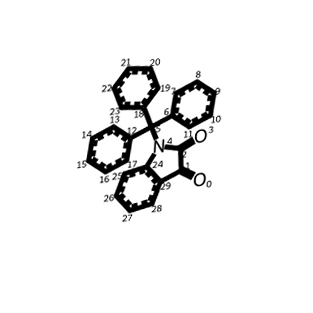 O=C1C(=O)N(C(c2ccccc2)(c2ccccc2)c2ccccc2)c2ccccc21